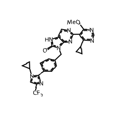 COc1ncnc(C2CC2)c1-c1ncc2[nH]c(=O)n(Cc3ccc(-c4nc(C(F)(F)F)cn4C4CC4)cc3)c2n1